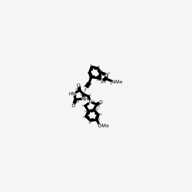 CNc1nc2cccc(C#C[C@]3(CN4Cc5ccc(OC)cc5C4=O)NC(=O)NC3=O)c2s1